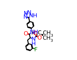 CC(C)(C)OC(=O)NC(Cc1cccc(F)c1)C(=O)Nc1ccc(-c2nnn[nH]2)cc1